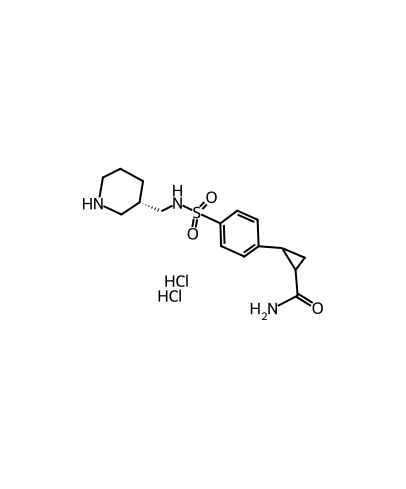 Cl.Cl.NC(=O)C1CC1c1ccc(S(=O)(=O)NC[C@H]2CCCNC2)cc1